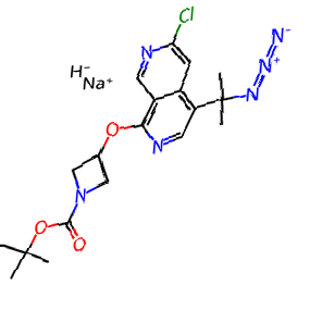 CC(C)(C)OC(=O)N1CC(Oc2ncc(C(C)(C)N=[N+]=[N-])c3cc(Cl)ncc23)C1.[H-].[Na+]